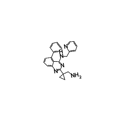 NCC1(c2nc(NCc3ccccn3)c3c(-c4ccccc4)cccc3n2)CC1